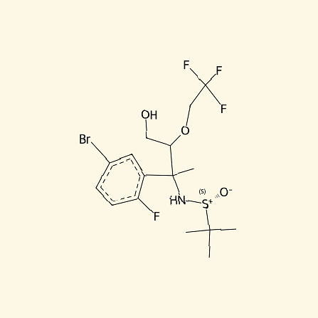 CC(N[S@+]([O-])C(C)(C)C)(c1cc(Br)ccc1F)C(CO)OCC(F)(F)F